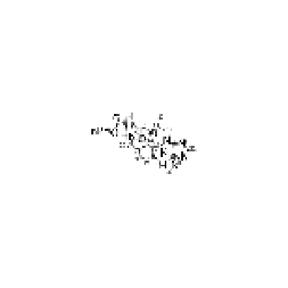 CCCOC(=O)C(C)(C)N[P@@](=O)(CO[C@H](C)Cn1cnc2c(N)ncnc21)N[C@H](C)c1ccc(C)cc1